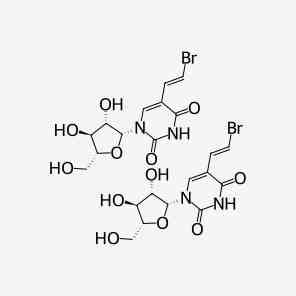 O=c1[nH]c(=O)n([C@@H]2O[C@H](CO)[C@@H](O)[C@@H]2O)cc1/C=C/Br.O=c1[nH]c(=O)n([C@@H]2O[C@H](CO)[C@@H](O)[C@@H]2O)cc1/C=C/Br